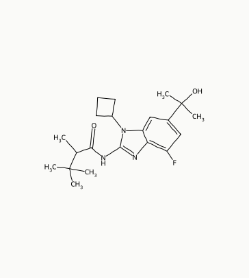 CC(C(=O)Nc1nc2c(F)cc(C(C)(C)O)cc2n1C1CCC1)C(C)(C)C